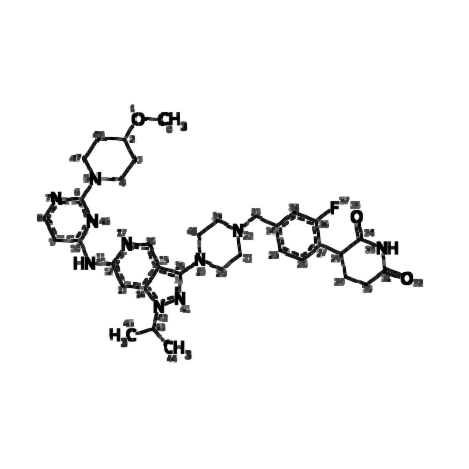 COC1CCN(c2nccc(Nc3cc4c(cn3)c(N3CCN(Cc5ccc(C6CCC(=O)NC6=O)c(F)c5)CC3)nn4C(C)C)n2)CC1